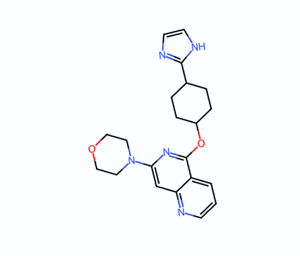 c1cnc2cc(N3CCOCC3)nc(OC3CCC(c4ncc[nH]4)CC3)c2c1